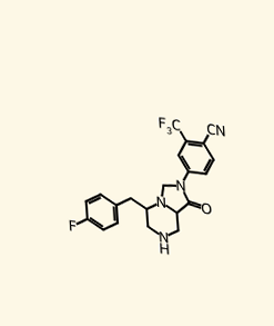 N#Cc1ccc(N2CN3C(Cc4ccc(F)cc4)CNCC3C2=O)cc1C(F)(F)F